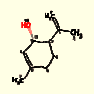 C=C(C)C1CCC(C)=C[C@@H]1O